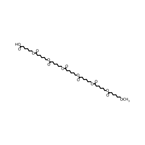 COCCCCCC(=O)OCCCCCC(=O)OCCCCCC(=O)OCCCCCC(=O)OCCCCCC(=O)OCCCCCC(=O)OCCCCCC(=O)O